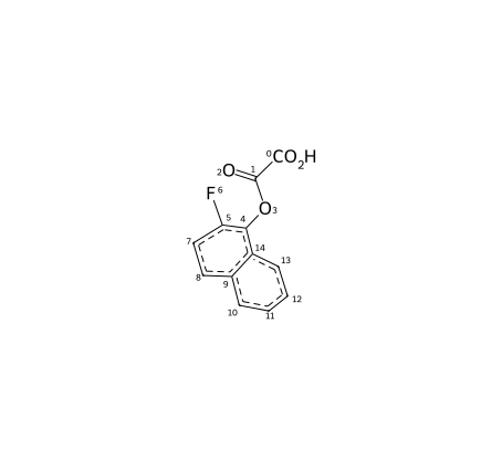 O=C(O)C(=O)Oc1c(F)ccc2ccccc12